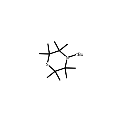 CC(C)(C)N1C(C)(C)C(C)(C)SC(C)(C)C1(C)C